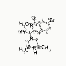 CCCC(c1nc2ccc(Br)cc2c(=O)n1C)N1C[C@@H](C)N[C@@H](C)C1